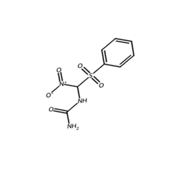 NC(=O)NC([N+](=O)[O-])S(=O)(=O)c1ccccc1